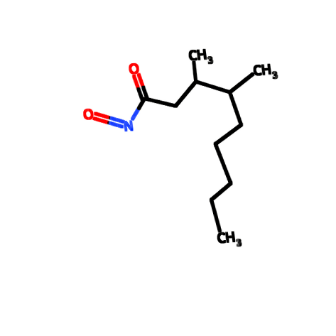 CCCCCC(C)C(C)CC(=O)N=O